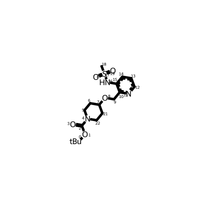 CC(C)(C)OC(=O)N1CCC(OCc2ncccc2NS(C)(=O)=O)CC1